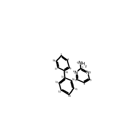 Nc1ncccn1.c1ccc(-c2ccccc2)cc1